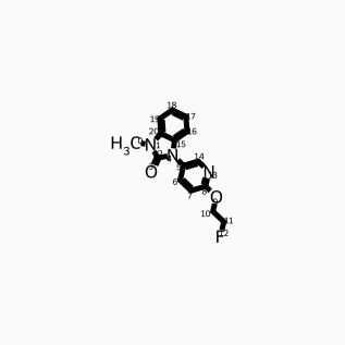 Cn1c(=O)n(-c2ccc(OCCF)nc2)c2ccccc21